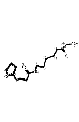 O=C(/C=C\c1cccs1)NCCCCCC(=O)NO